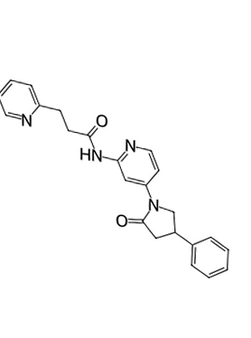 O=C(CCc1ccccn1)Nc1cc(N2CC(c3ccccc3)CC2=O)ccn1